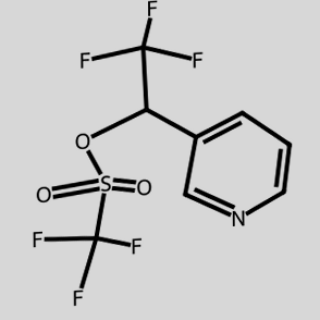 O=S(=O)(OC(c1cccnc1)C(F)(F)F)C(F)(F)F